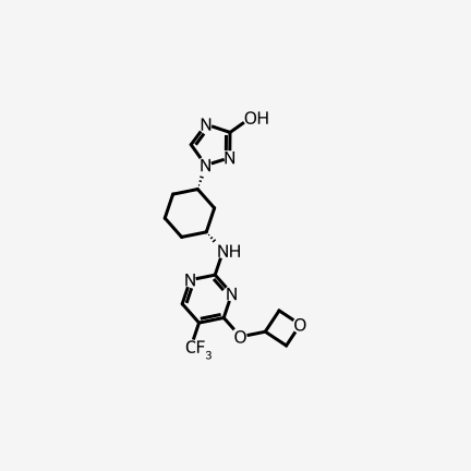 Oc1ncn([C@H]2CCC[C@@H](Nc3ncc(C(F)(F)F)c(OC4COC4)n3)C2)n1